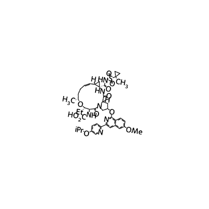 CC[C@@H]1O[C@H](C)CCC=C[C@@H]2C[C@@]2(C(=O)NS(=O)(=O)C2(C)CC2)NC(=O)[C@@H]2C[C@@H](Oc3nc(-c4ccc(OC(C)C)cn4)cc4cc(OC)ccc34)CN2C(=O)[C@H]1NC(=O)O